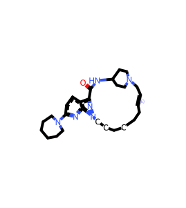 O=C1NC2CCN(C/C=C/CCCCCCn3nc1c1ccc(N4CCCCCC4)nc13)CC2